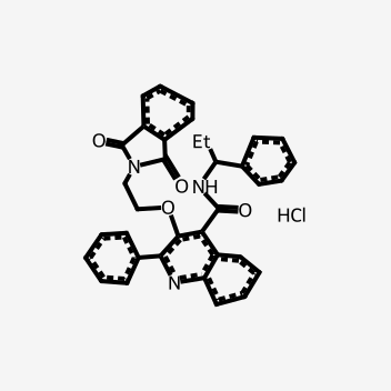 CCC(NC(=O)c1c(OCCN2C(=O)c3ccccc3C2=O)c(-c2ccccc2)nc2ccccc12)c1ccccc1.Cl